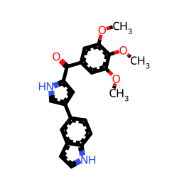 COc1cc(C(=O)c2cc(-c3ccc4[nH]ccc4c3)c[nH]2)cc(OC)c1OC